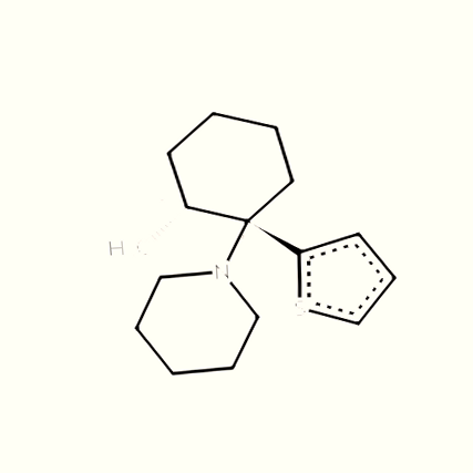 C[C@@H]1CCCC[C@]1(c1cccs1)N1CCCCC1